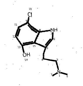 CN(C)CCc1c[nH]c2c(Cl)ccc(O)c12